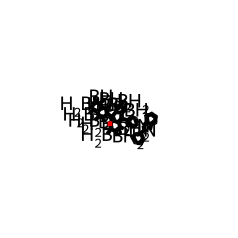 BC1=C(B)C2C(=C1B)C(c1ccc(-n3c(-c4ccccc4)nc4ccccc43)cc1)=c1c(B)c(B)c(B)c(B)c1=C2c1c(B)c(B)c2c(B)c(B)c(B)c(B)c2c1B